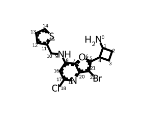 NC1CCC1c1oc2c(NCc3cccs3)cc(Cl)nc2c1Br